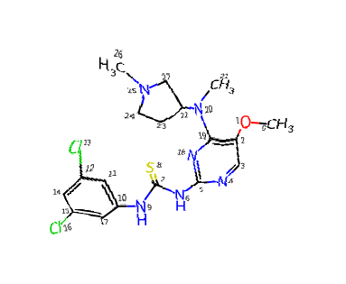 COc1cnc(NC(=S)Nc2cc(Cl)cc(Cl)c2)nc1N(C)C1CCN(C)C1